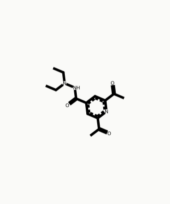 CCN(CC)NC(=O)c1cc(C(C)=O)nc(C(C)=O)c1